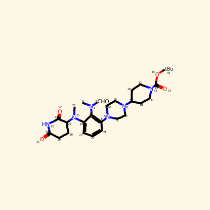 CN(C=O)c1c(N2CCN(C3CCN(C(=O)OC(C)(C)C)CC3)CC2)cccc1N(C)C1CCC(=O)NC1=O